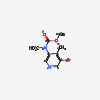 Cc1c(Br)cncc1N(C(=O)O)C(=O)OC(C)(C)C